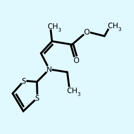 CCOC(=O)C(C)=CN(CC)C1SC=CS1